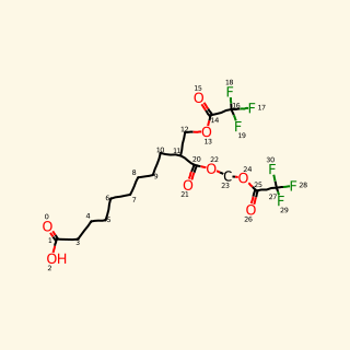 O=C(O)CCCCCCCCC(COC(=O)C(F)(F)F)C(=O)OCOC(=O)C(F)(F)F